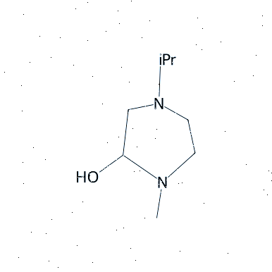 CC(C)N1CCN(C)C(O)C1